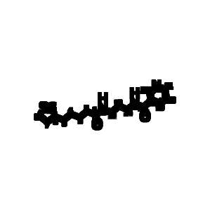 O=C(CCCCC1CCSS1)NCCCNC(=O)c1cccnc1